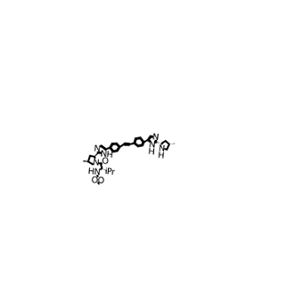 CC(C)[C@H](NC1OCO1)C(=O)N1C[C@@H](C)C[C@H]1c1ncc(-c2ccc(C#Cc3ccc(-c4cnc([C@@H]5C[C@H](C)CN5)[nH]4)cc3)cc2)[nH]1